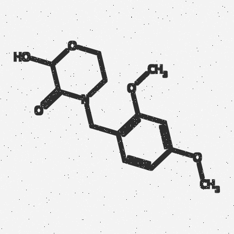 COc1ccc(CN2CCOC(O)C2=O)c(OC)c1